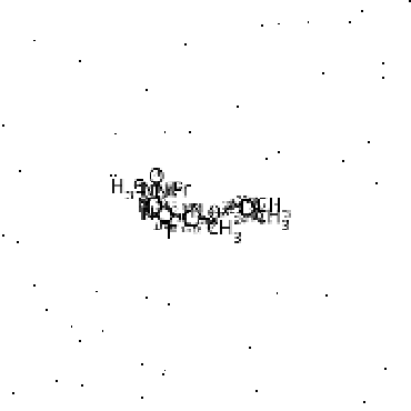 CC(C)n1c(=O)n(C)c2nnc3cc(F)c(-c4ccc([C@@H](C)OCCN5CCC(C)(C)CC5)nc4)cc3c21